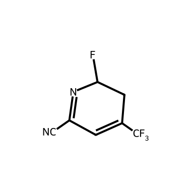 N#CC1=NC(F)CC(C(F)(F)F)=C1